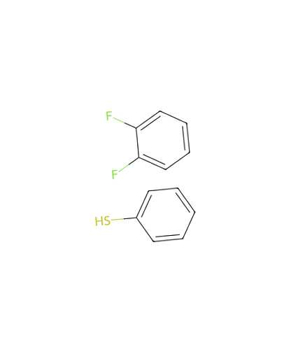 Fc1ccccc1F.Sc1ccccc1